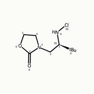 CC(C)(C)[C@@H](CN1CCOC1=O)NCl